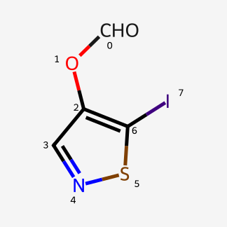 O=COc1cnsc1I